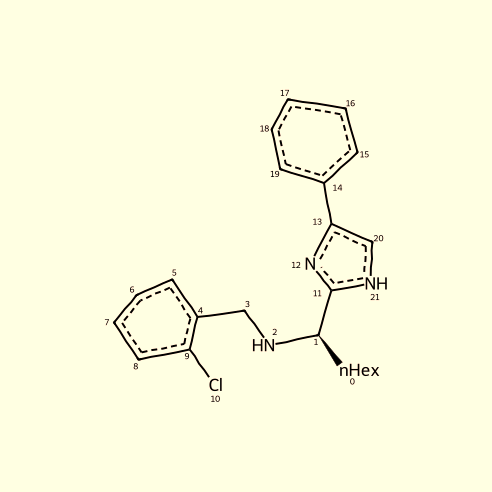 CCCCCC[C@@H](NCc1ccccc1Cl)c1nc(-c2ccccc2)c[nH]1